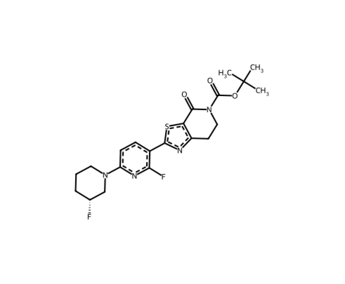 CC(C)(C)OC(=O)N1CCc2nc(-c3ccc(N4CCC[C@@H](F)C4)nc3F)sc2C1=O